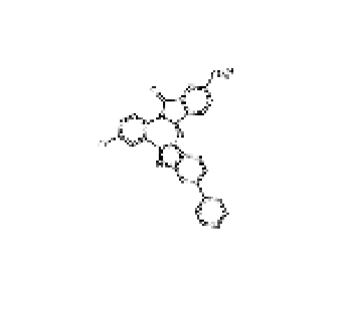 O=C(O)c1ccc2c(c1)C(=O)N(c1ccc(Cl)cc1-c1nc3cc(-c4ccccc4)ccc3o1)C2=O